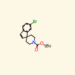 CC(C)(C)OC(=O)N1CCC2(C=Cc3ccc(Br)cc32)CC1